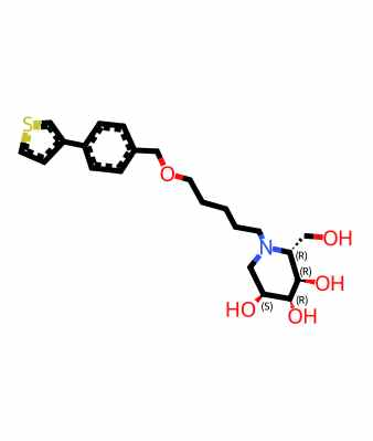 OC[C@@H]1[C@@H](O)[C@H](O)[C@@H](O)CN1CCCCCOCc1ccc(-c2ccsc2)cc1